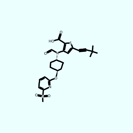 CC(C)(C)C#Cc1cc(N(C=O)[C@H]2CC[C@H](Oc3cccc(S(C)(=O)=O)n3)CC2)c(C(=O)O)s1